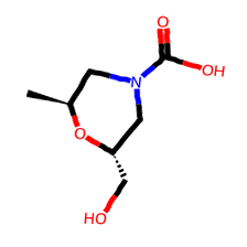 C[C@H]1CN(C(=O)O)C[C@H](CO)O1